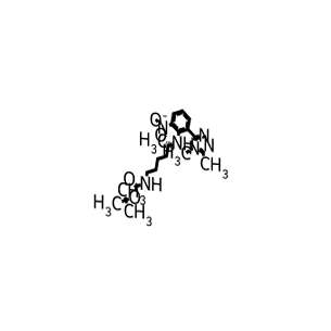 Cc1nnc(-c2cccc([N+](=O)[O-])c2N[C@H](C)CCCCNC(=O)OC(C)(C)C)n1C